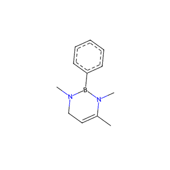 CC1=CCN(C)B(c2ccccc2)N1C